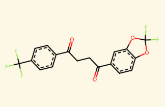 O=C(CCC(=O)c1ccc2c(c1)OC(F)(F)O2)c1ccc(C(F)(F)F)cc1